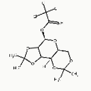 CC1(C)OC2C(O1)[C@@H]1OC(C)(C)OCC1O[C@@H]2OC(=N)C(Cl)(Cl)Cl